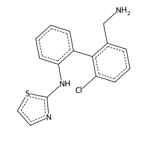 NCc1cccc(Cl)c1-c1ccccc1Nc1nccs1